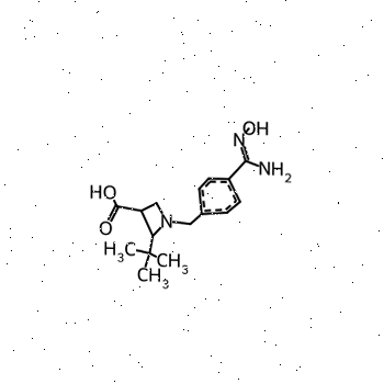 CC(C)(C)C1C(C(=O)O)CN1Cc1ccc(C(N)=NO)cc1